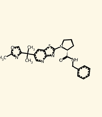 Cc1nc(C(C)(C)c2cnc3nc(N4CCC[C@@H]4C(=O)NCc4ccccc4)sc3c2)co1